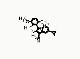 COc1ccc(C)c(-c2c(N)c(C#N)c3cc(C4CC4)cnn23)c1C